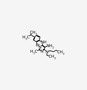 CCCCN(CC)c1nc(C)nc(Nc2ccc(C(C)C)cc2Br)c1N